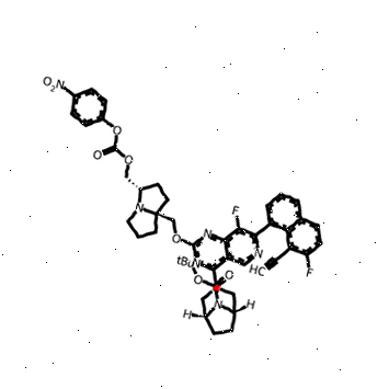 C#Cc1c(F)ccc2cccc(-c3ncc4c(N5C[C@H]6CC[C@@H](C5)N6C(=O)OC(C)(C)C)nc(OC[C@@]56CCCN5[C@H](COC(=O)Oc5ccc([N+](=O)[O-])cc5)CC6)nc4c3F)c12